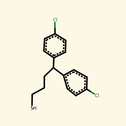 Clc1ccc(C(CC[CH2][Sn])c2ccc(Cl)cc2)cc1